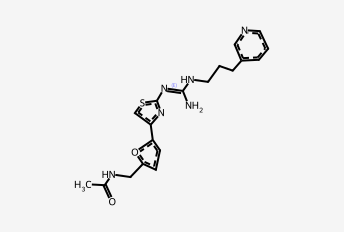 CC(=O)NCc1ccc(-c2csc(/N=C(\N)NCCCc3cccnc3)n2)o1